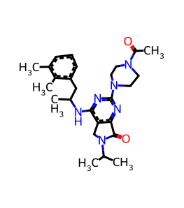 CC(=O)N1CCN(c2nc(NC(C)Cc3cccc(C)c3C)c3c(n2)C(=O)N(C(C)C)C3)CC1